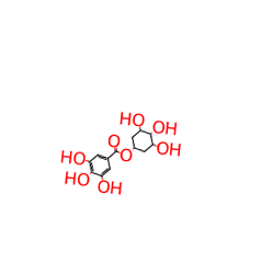 O=C(OC1CC(O)C(O)C(O)C1)c1cc(O)c(O)c(O)c1